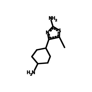 Cc1sc(N)nc1C1CCC(N)CC1